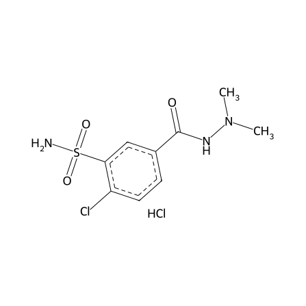 CN(C)NC(=O)c1ccc(Cl)c(S(N)(=O)=O)c1.Cl